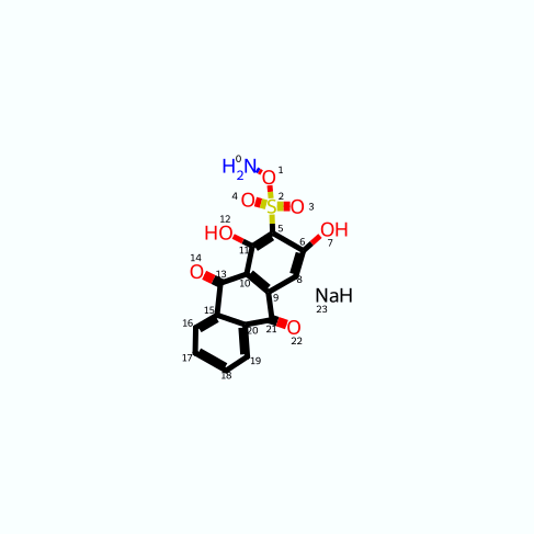 NOS(=O)(=O)c1c(O)cc2c(c1O)C(=O)c1ccccc1C2=O.[NaH]